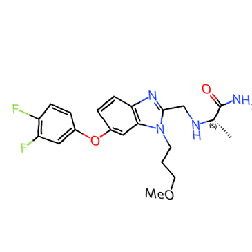 COCCCn1c(CN[C@@H](C)C(N)=O)nc2ccc(Oc3ccc(F)c(F)c3)cc21